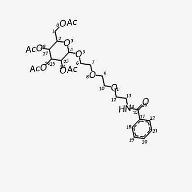 CC(=O)OCC1OC(OCCOCCOCCNC(=O)c2ccccc2)C(OC(C)=O)C(OC(C)=O)C1OC(C)=O